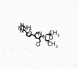 C[C@@H]1CN(c2ncc(-c3ccc(-c4nnn[nH]4)s3)cc2C=O)C[C@H](C)O1